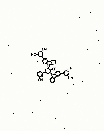 N#Cc1cccc(-c2cc(-n3c4ccccc4c4cc(-c5cc(C#N)cc(C#N)c5)ccc43)c(C(F)(F)F)c(-n3c4ccccc4c4cc(-c5cc(C#N)cc(C#N)c5)ccc43)c2)c1